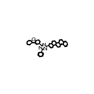 c1ccc(-c2nc(-c3ccc4c(ccc5c4ccc4c6ccccc6ccc45)c3)nc(-c3ccc4oc5ccccc5c4c3)n2)cc1